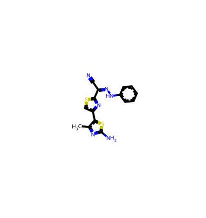 Cc1nc(N)sc1-c1csc(C(C#N)=NNc2ccccc2)n1